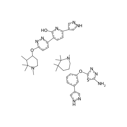 CC1C(Oc2ccc(-c3ccc(-c4cn[nH]c4)nc3O)nn2)CCN(C)C1(C)C.CN1CCCC(C)(C)C1(C)C.Nc1nnc(Oc2cccc(-c3cn[nH]c3)c2)s1